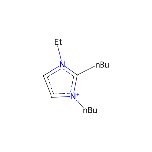 CCCCc1n(CC)cc[n+]1CCCC